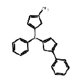 CC1=CC=C(N(C2=CC=C(c3ccccc3)C2)c2ccccc2)C1